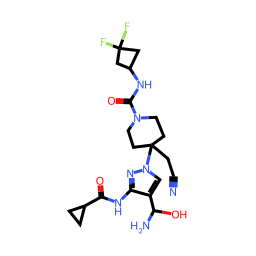 N#CCC1(n2cc(C(N)O)c(NC(=O)C3CC3)n2)CCN(C(=O)NC2CC(F)(F)C2)CC1